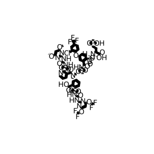 COc1cc(OC)nc(NC(=O)NS(=O)(=O)c2ncccc2C(=O)N(C)C)n1.CP(=O)(O)CCC(N)C(=O)O.CS(=O)(=O)NC(=O)c1cc(Oc2ccc(C(F)(F)F)cc2Cl)ccc1[N+](=O)[O-].O=C(Nc1nc(OC(F)F)cc(OC(F)F)n1)NS(=O)(=O)c1ccccc1C(=O)O